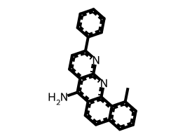 Cc1cccc2ccc3c(N)c4ccc(-c5ccccc5)nc4nc3c12